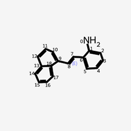 Nc1ccccc1/C=C/c1cccc2ccccc12